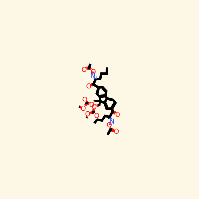 CCCC/C(=N\OC(C)=O)C(=O)c1ccc2c(c1)C(COC(=O)OC)(COC(=O)OC)c1cc(C(=O)/C(CCCC)=N/OC(C)=O)ccc1-2